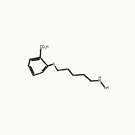 CCCNCCCCCSc1ccccc1C(=O)O